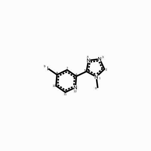 Cn1cnnc1-c1cc(I)ccn1